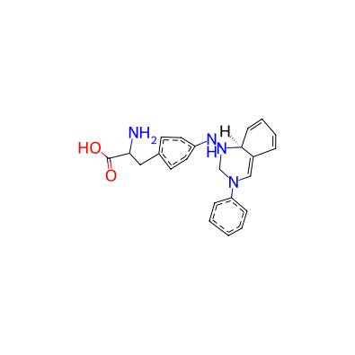 NC(Cc1ccc(NN2CN(c3ccccc3)C=C3C=CC=C[C@@H]32)cc1)C(=O)O